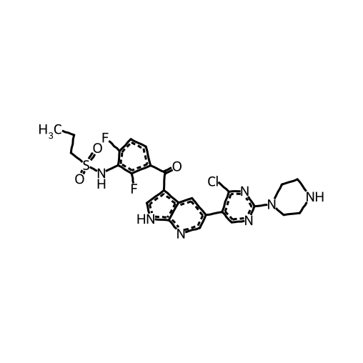 CCCS(=O)(=O)Nc1c(F)ccc(C(=O)c2c[nH]c3ncc(-c4cnc(N5CCNCC5)nc4Cl)cc23)c1F